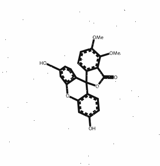 COc1ccc2c(c1OC)C(=O)OC21c2ccc(O)cc2Oc2cc(O)ccc21